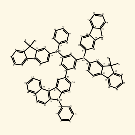 CC1(C)c2ccccc2-c2ccc(N(c3ccccc3)c3cc(-c4ccc5c(c4)c4c6ccccc6ccc4n5-c4ccccc4)cc(N(c4ccc5c(c4)C(C)(C)c4ccccc4-5)c4ccc5c(c4)oc4ccccc45)c3)cc21